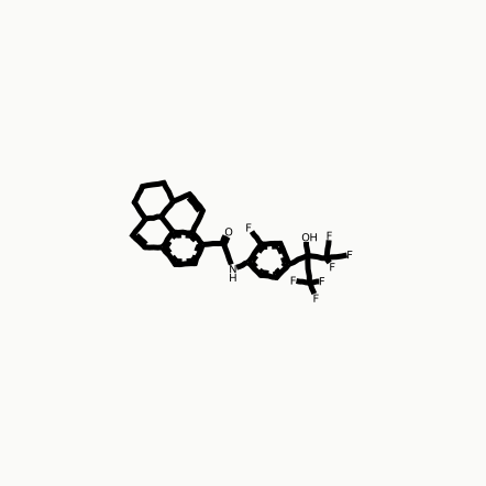 O=C(Nc1ccc(C(O)(C(F)(F)F)C(F)(F)F)cc1F)c1ccc2c3c1C=CC1CCCC(C=C2)C31